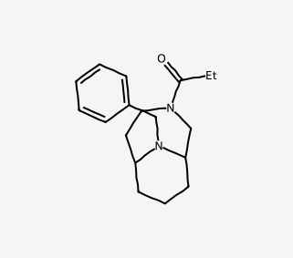 CCC(=O)N1CCC2CCCC(C1)N2Cc1ccccc1